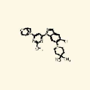 Cc1nc(N2CC3CC2CO3)cc(-n2ncc3cc(Cl)c(N4CCC(C)(O)CC4)cc32)n1